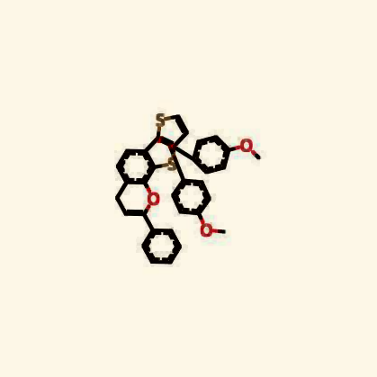 COc1ccc(C2(c3ccc(OC)cc3)C=CCC34SC=CC32Sc2c4ccc3c2OC(c2ccccc2)=CC3)cc1